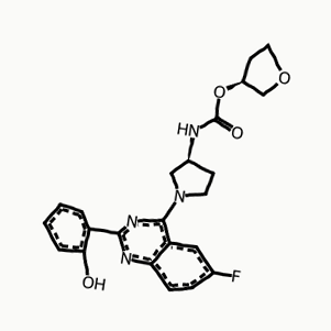 O=C(N[C@H]1CCN(c2nc(-c3ccccc3O)nc3ccc(F)cc23)C1)O[C@H]1CCOC1